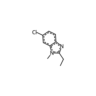 CCc1nc2ccc(Cl)cc2n1C